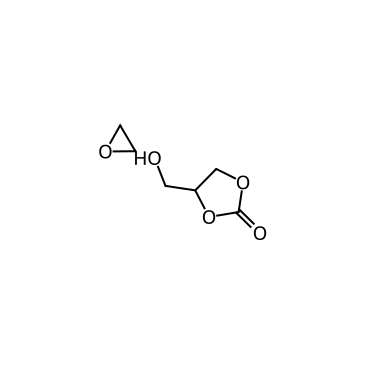 C1CO1.O=C1OCC(CO)O1